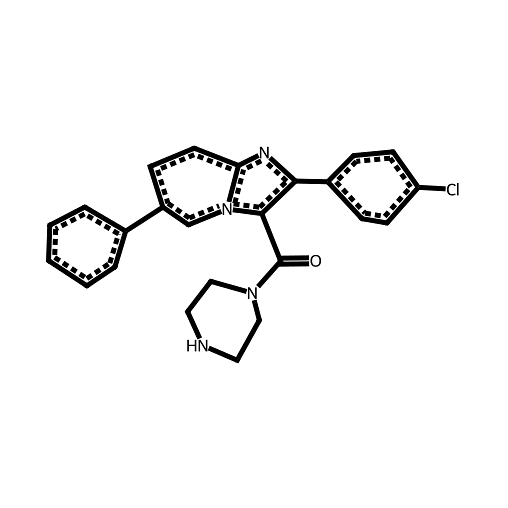 O=C(c1c(-c2ccc(Cl)cc2)nc2ccc(-c3ccccc3)cn12)N1CCNCC1